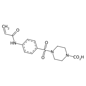 C=CC(=O)Nc1ccc(S(=O)(=O)N2CCN(C(=O)O)CC2)cc1